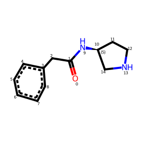 O=C(Cc1ccccc1)N[C@H]1CCNC1